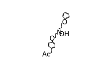 CC(=O)Cc1ccc(OCCN(O)CCCOc2ccccc2)cc1